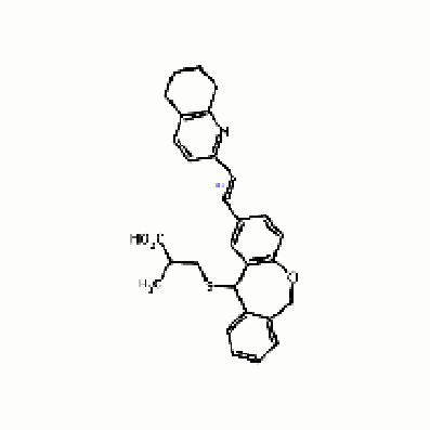 CC(CSC1c2ccccc2COc2ccc(/C=C/c3ccc4c(n3)CCCC4)cc21)C(=O)O